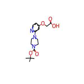 CC(C)(C)OC(=O)N1CCN(c2cc(OCC(=O)O)ccn2)CC1